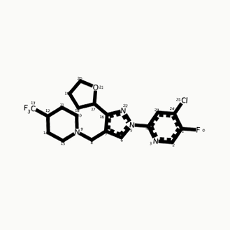 Fc1cnc(-n2cc(CN3CCC(C(F)(F)F)CC3)c(C3CCCO3)n2)cc1Cl